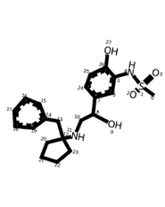 CS(=O)(=O)Nc1cc(C(O)CNC2(Cc3ccccc3)CCCC2)ccc1O